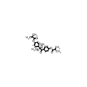 C=C(C)C(=O)Oc1ccc(C(=O)C(OC)(OC)c2ccc(OC(=O)C(=C)C)cc2)cc1